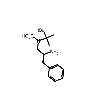 CC(C)(C)C(C)(C)N(CC(N)Cc1ccccc1)C(=O)O